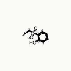 O=S(=O)(CF)c1ccccc1O